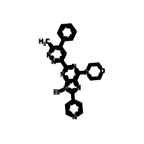 CCn1c(-c2ccncc2)nc2c(N3CCOCC3)nc(-c3cc(-c4ccccc4)c(C)nn3)nc21